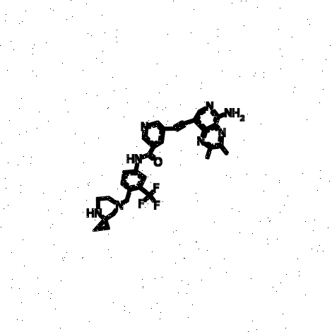 Cc1nc2c(C#Cc3cncc(C(=O)Nc4ccc(CN5CCNC6(CC6)C5)c(C(F)(F)F)c4)c3)cnc(N)c2nc1C